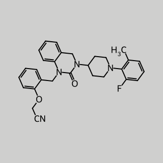 Cc1cccc(F)c1N1CCC(N2Cc3ccccc3N(Cc3ccccc3OCC#N)C2=O)CC1